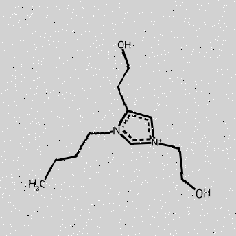 CCCCn1c[n+](CCO)cc1CCO